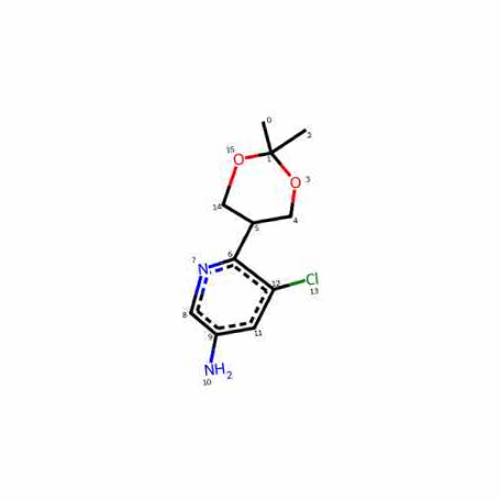 CC1(C)OCC(c2ncc(N)cc2Cl)CO1